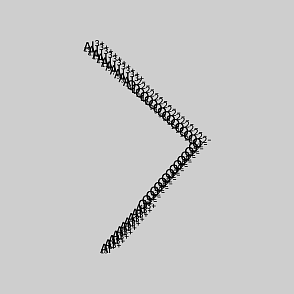 [Al+3].[Al+3].[Al+3].[Al+3].[Al+3].[Al+3].[Al+3].[Al+3].[Al+3].[Al+3].[Al+3].[Al+3].[Al+3].[Al+3].[Al+3].[Al+3].[Al+3].[Al+3].[Al+3].[Al+3].[O-2].[O-2].[O-2].[O-2].[O-2].[O-2].[O-2].[O-2].[O-2].[O-2].[O-2].[O-2].[O-2].[O-2].[O-2].[O-2].[O-2].[O-2].[O-2].[O-2].[O-2].[O-2].[O-2].[O-2].[O-2].[O-2].[O-2].[O-2].[O-2].[O-2]